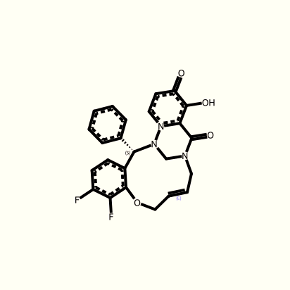 O=C1c2c(O)c(=O)ccn2N2CN1C/C=C/COc1c(ccc(F)c1F)[C@@H]2c1ccccc1